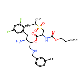 CCCC(CCC)S(=O)(=O)CC(NC(=O)OCCOC)C(=O)O[C@H](CNCc1cccc(CC)c1)[C@@H](N)Cc1cc(F)cc(F)c1